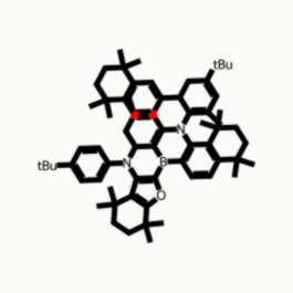 CC1=CC2=C3B(c4ccc5c(c4N2C2=C(C)C=C(C(C)(C)C)CC2c2ccc4c(c2)C(C)(C)CCC4(C)C)C(C)(C)CCC5(C)C)c2oc4c(c2N(c2ccc(C(C)(C)C)cc2)C3C1)C(C)(C)CCC4(C)C